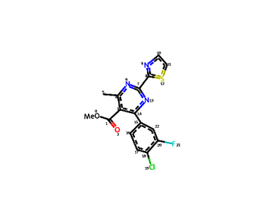 COC(=O)c1c(C)nc(-c2nccs2)nc1-c1ccc(Cl)c(F)c1